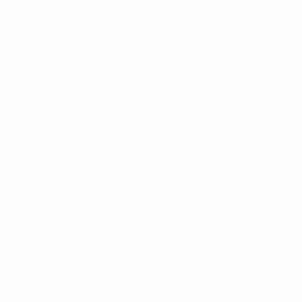 O=C(OCc1ccccc1)C1CC1